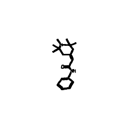 CN1C(C)(C)CC(=CC(=O)Nc2ccccc2)CC1(C)C